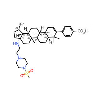 CC(C)[C@@H]1CC[C@]2(NCCN3CCN(S(C)(=O)=O)CC3)CC[C@]3(C)[C@H](CC[C@@H]4[C@@]5(C)CC=C(c6ccc(C(=O)O)cc6)C(C)(C)[C@@H]5CC[C@]43C)[C@@H]12